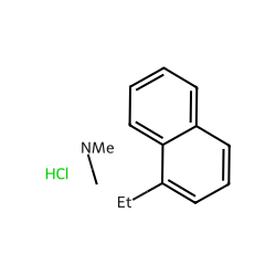 CCc1cccc2ccccc12.CNC.Cl